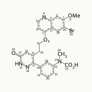 COc1cc2nccc(OCCc3cc(=O)[nH]nc3-c3cccc(N(C)C(=O)O)c3)c2cc1Br